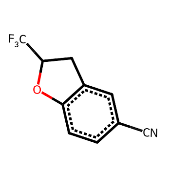 N#Cc1ccc2c(c1)CC(C(F)(F)F)O2